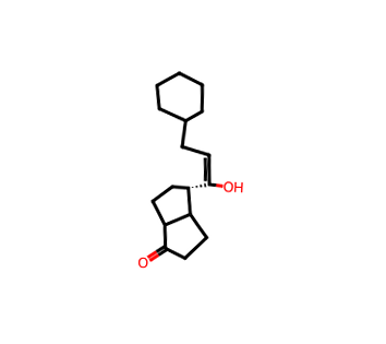 O=C1CCC2C1CC[C@@H]2/C(O)=C\CC1CCCCC1